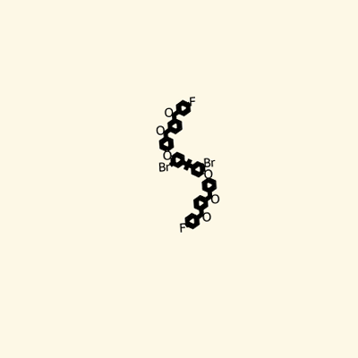 CC(C)(c1ccc(Oc2ccc(C(=O)c3cccc(C(=O)c4ccc(F)cc4)c3)cc2)c(Br)c1)c1ccc(Oc2ccc(C(=O)c3cccc(C(=O)c4ccc(F)cc4)c3)cc2)c(Br)c1